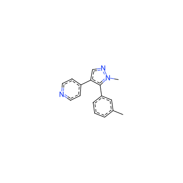 Cc1cccc(-c2c(-c3ccncc3)cnn2C)c1